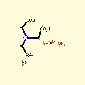 O.O.O.O=C(O)CN(CC(=O)O)CC(=O)O.[NaH]